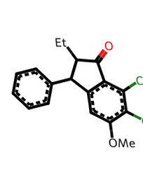 CCC1C(=O)c2c(cc(OC)c(Cl)c2Cl)C1c1ccccc1